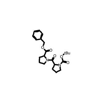 CC(C)(C)OC(=O)N1CCCC1C(=O)N1CCCC1C(=O)OCc1ccccc1